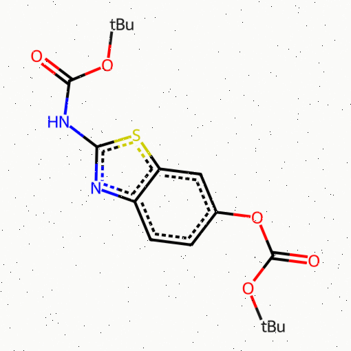 CC(C)(C)OC(=O)Nc1nc2ccc(OC(=O)OC(C)(C)C)cc2s1